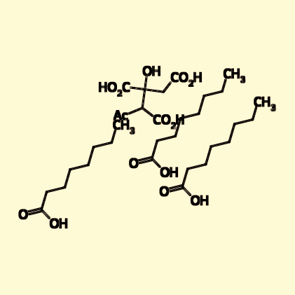 CC(=O)C(C(=O)O)C(O)(CC(=O)O)C(=O)O.CCCCCCCC(=O)O.CCCCCCCC(=O)O.CCCCCCCC(=O)O